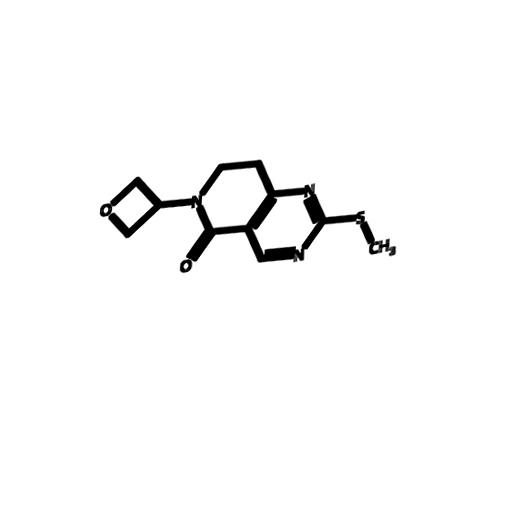 CSc1ncc2c(n1)CCN(C1COC1)C2=O